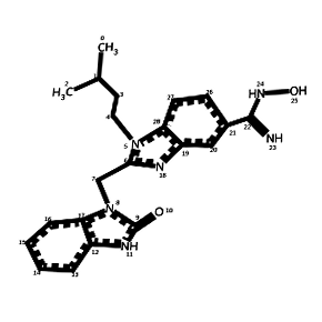 CC(C)CCn1c(Cn2c(=O)[nH]c3ccccc32)nc2cc(C(=N)NO)ccc21